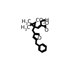 CC1(C)C(C(=O)O)C1(C=C1CCOC1=O)Cc1coc(Cc2ccccc2)c1